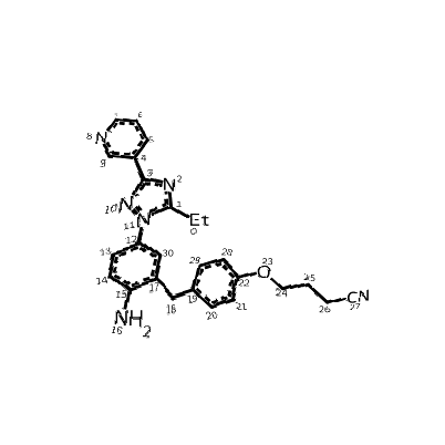 CCc1nc(-c2cccnc2)nn1-c1ccc(N)c(Cc2ccc(OCCCC#N)cc2)c1